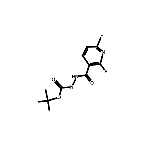 CC(C)(C)OC(=O)NNC(=O)c1ccc(F)nc1F